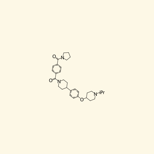 CC(C)N1CCC(Oc2ccc(C3CCN(C(=O)c4ccc(C(=O)N5CCCC5)cc4)CC3)cc2)CC1